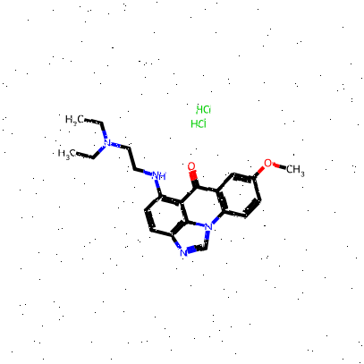 CCN(CC)CCNc1ccc2ncn3c4ccc(OC)cc4c(=O)c1c23.Cl.Cl